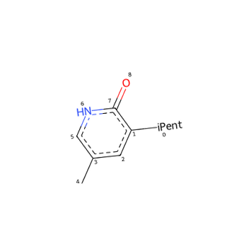 CCCC(C)c1cc(C)c[nH]c1=O